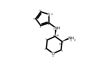 N[C@H]1COCC[C@H]1Nc1cccs1